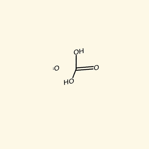 O=C(O)O.[O]